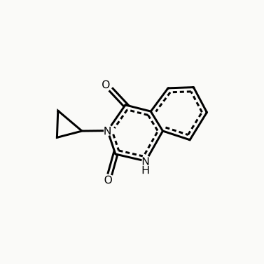 O=c1[nH]c2ccccc2c(=O)n1C1CC1